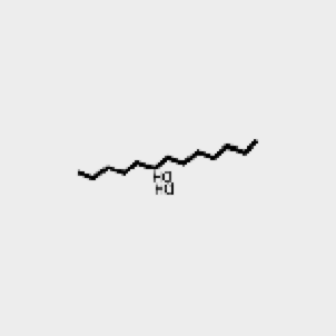 CCCCCCCCCCCCC.Cl.Cl